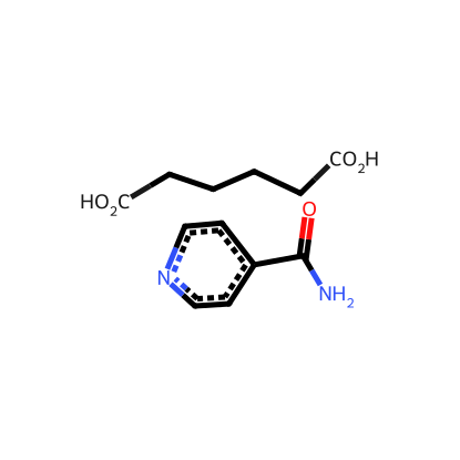 NC(=O)c1ccncc1.O=C(O)CCCCC(=O)O